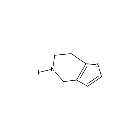 IN1CCc2sccc2C1